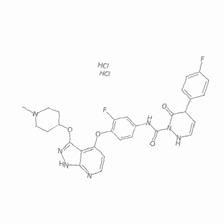 CN1CCC(Oc2n[nH]c3nccc(Oc4ccc(NC(=O)N5NC=CC(c6ccc(F)cc6)C5=O)cc4F)c23)CC1.Cl.Cl